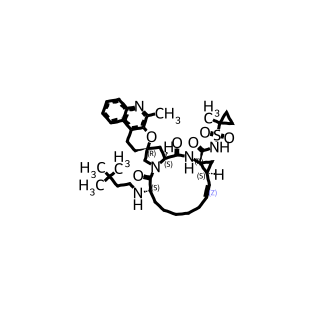 Cc1nc2ccccc2c2c1O[C@]1(CC2)C[C@H]2C(=O)N[C@]3(C(=O)NS(=O)(=O)C4(C)CC4)C[C@H]3/C=C\CCCCC[C@H](NCCC(C)(C)C)C(=O)N2C1